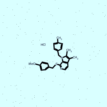 COc1ccc(CSc2nccc3c(C)c(C)n(Cc4ccc(C)cc4)c23)cc1.Cl